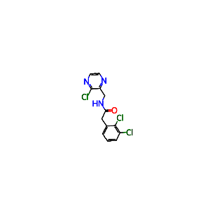 O=C(Cc1cccc(Cl)c1Cl)NCc1nccnc1Cl